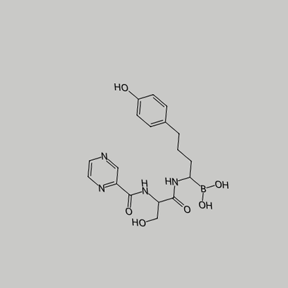 O=C(NC(CO)C(=O)NC(CCCc1ccc(O)cc1)B(O)O)c1cnccn1